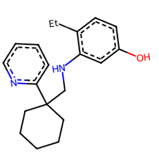 CCc1ccc(O)cc1NCC1(c2ccccn2)CCCCC1